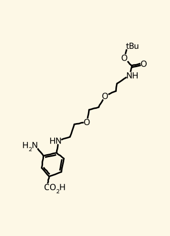 CC(C)(C)OC(=O)NCCOCCOCCNc1ccc(C(=O)O)cc1N